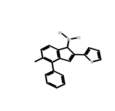 Cc1ccc2c(c1-c1ccccc1)C=C(c1cccs1)[CH]2[Zr]([Cl])[Cl]